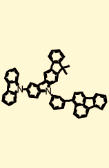 CC1(C)c2ccccc2-c2cc3c4cc(-n5c6ccccc6c6ccccc65)ccc4n(-c4cccc(-c5ccc6c7c(cccc57)-c5ccccc5-6)c4)c3cc21